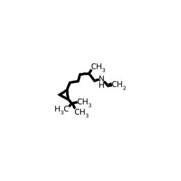 C=CNCC(C)CCCC1CC1C(C)(C)C